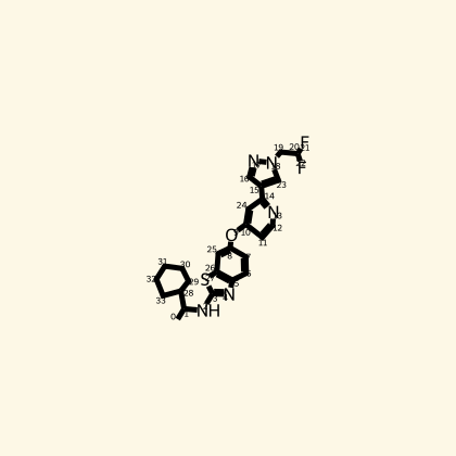 CC(Nc1nc2ccc(Oc3ccnc(-c4cnn(CC(F)F)c4)c3)cc2s1)C1CCCCC1